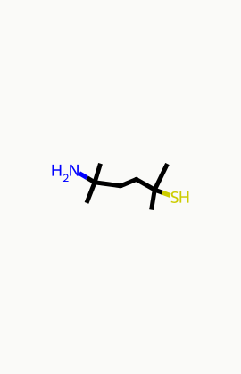 CC(C)(N)CCC(C)(C)S